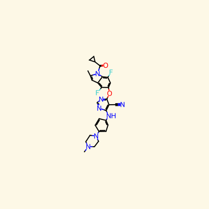 Cc1cc2c(F)c(Oc3ncnc(Nc4ccc(N5CCN(C)CC5)cc4)c3C#N)cc(F)c2n1C(=O)C1CC1